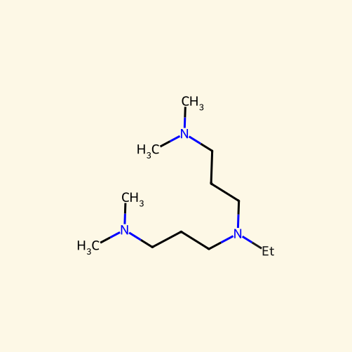 CCN(CCCN(C)C)CCCN(C)C